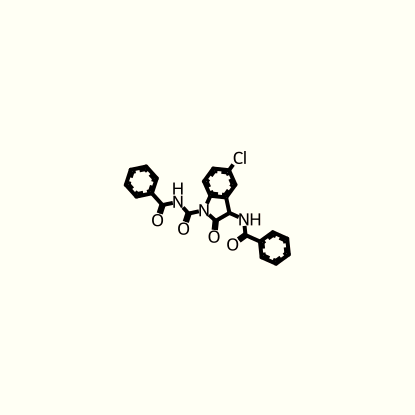 O=C(NC(=O)N1C(=O)C(NC(=O)c2ccccc2)c2cc(Cl)ccc21)c1ccccc1